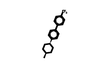 C[C@H]1CC[C@H](c2ccc(-c3ccc(C(F)(F)F)cc3)cc2)CC1